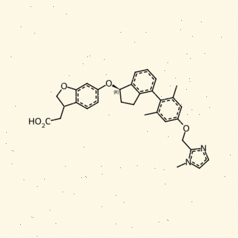 Cc1cc(OCc2nccn2C)cc(C)c1-c1cccc2c1CC[C@H]2Oc1ccc2c(c1)OCC2CC(=O)O